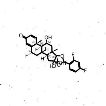 C[C@]12C=CC(=O)C=C1[C@@H](F)C[C@H]1[C@@H]3C[C@H]4OC(c5ccc(F)cc5F)O[C@@]4(C(=O)O)[C@@]3(C)C[C@H](O)[C@@]12F